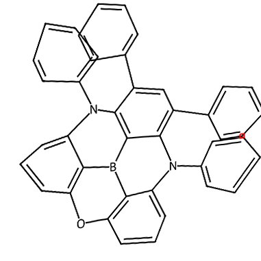 c1ccc(-c2cc(-c3ccccc3)c3c4c2N(c2ccccc2)c2cccc5c2B4c2c(cccc2N3c2ccccc2)O5)cc1